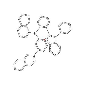 c1ccc(-c2c(-c3ccccc3N(c3cccc(-c4ccc5ccccc5c4)c3)c3cccc4ccccc34)oc3ccccc23)cc1